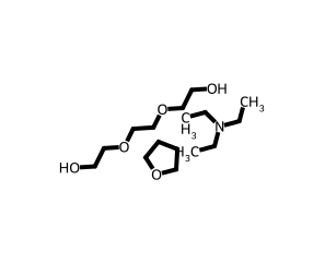 C1CCOC1.CCN(CC)CC.OCCOCCOCCO